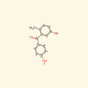 Cc1ccc(Br)cc1C(=O)c1ccc(O)cc1